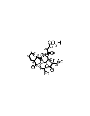 CCC(COC(=O)C1CCCCC1C(=O)OCC(CC)OC(=O)CCC(=O)O)OC(=O)CCC(C)=O